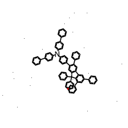 c1ccc(-c2ccc(N(c3ccc(-c4ccccc4)cc3)c3ccc(-c4cc5c(cc4-c4ccccc4)-c4cc(-c6ccccc6)cc(-c6ccccc6)c4C5(c4ccccc4)c4ccccc4)cc3)cc2)cc1